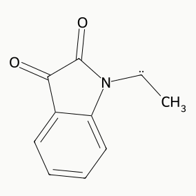 C[C]N1C(=O)C(=O)c2ccccc21